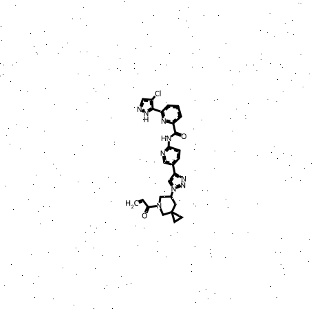 C=CC(=O)N1CC(n2cc(-c3ccc(NC(=O)c4cccc(-c5[nH]ncc5Cl)n4)nc3)nn2)CC2(CC2)C1